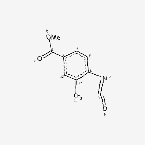 COC(=O)c1ccc(N=C=O)c(C(F)(F)F)c1